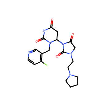 O=C1CC(N2C(=O)CN(CCN3CCCC3)C2=O)N(Cc2cnccc2F)C(=O)[N]1